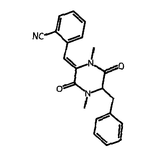 CN1C(=O)C(Cc2ccccc2)N(C)C(=O)/C1=C/c1ccccc1C#N